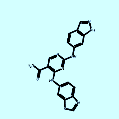 NC(=O)c1cnc(Nc2ccc3cn[nH]c3c2)nc1Nc1ccc2ncsc2c1